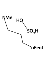 CCCCCCCCNC.O=S(=O)(O)O